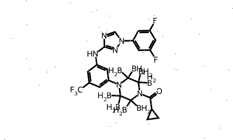 BC1(B)N(C(=O)C2CC2)C(B)(B)C(B)(B)N(c2cc(Nc3ncn(-c4cc(F)cc(F)c4)n3)cc(C(F)(F)F)c2)C1(B)B